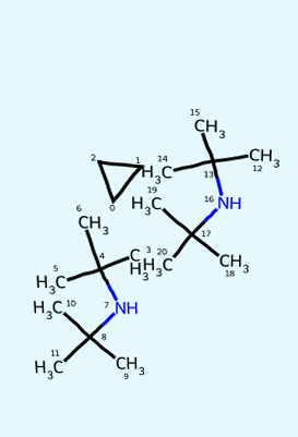 C1CC1.CC(C)(C)NC(C)(C)C.CC(C)(C)NC(C)(C)C